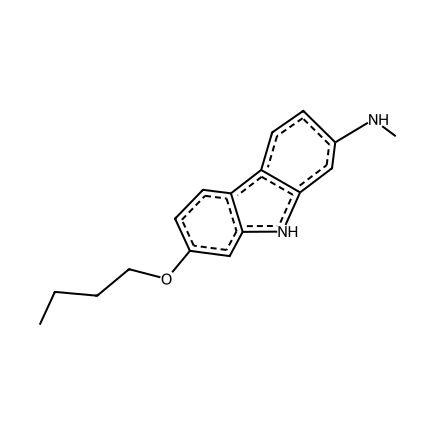 CCCCOc1ccc2c(c1)[nH]c1cc(NC)ccc12